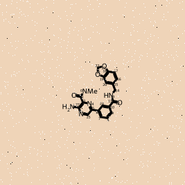 CNC(=O)c1nc(-c2cccc(C(=O)NCc3ccc4c(c3)OCO4)c2)cnc1N